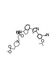 COC(=O)CC1CCN(CCS(=O)(=O)NC2CCc3c(-c4cnc(-c5ccc(OC(C)C)c(C#N)c5)s4)cccc32)CC1